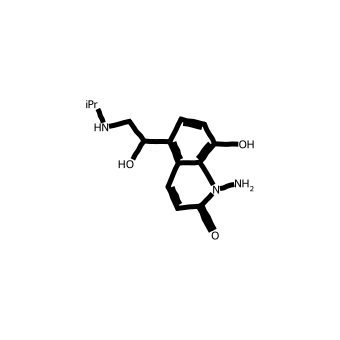 CC(C)NCC(O)c1ccc(O)c2c1ccc(=O)n2N